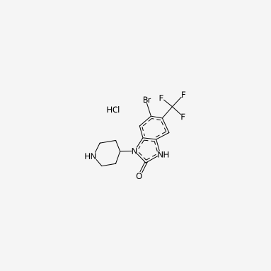 Cl.O=c1[nH]c2cc(C(F)(F)F)c(Br)cc2n1C1CCNCC1